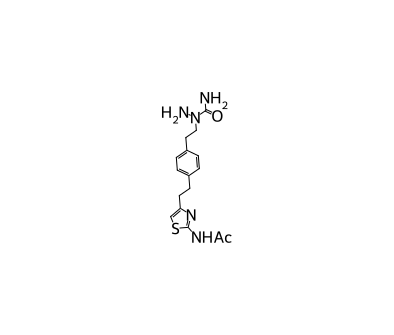 CC(=O)Nc1nc(CCc2ccc(CCN(N)C(N)=O)cc2)cs1